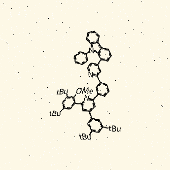 COc1c(-c2cc(-c3cc(C(C)(C)C)cc(C(C)(C)C)c3)cc(-c3cccc(-c4cc(-c5cccc6c7ccccc7n(-c7ccccc7)c56)ccn4)c3)n2)cc(C(C)(C)C)cc1C(C)(C)C